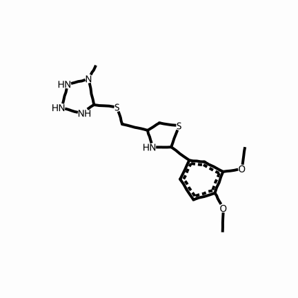 COc1ccc(C2NC(CSC3NNNN3C)CS2)cc1OC